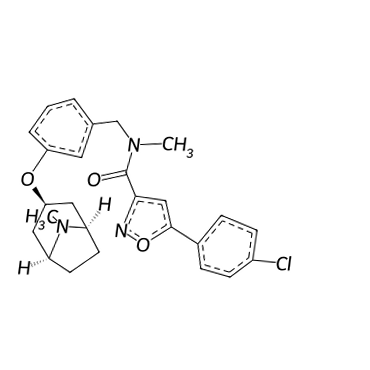 CN(Cc1cccc(O[C@H]2C[C@H]3CC[C@@H](C2)N3C)c1)C(=O)c1cc(-c2ccc(Cl)cc2)on1